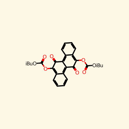 CC(C)COC(=O)OC1=c2ccccc2=C2C(=O)C(OC(=O)OCC(C)C)=c3ccccc3=C2C1=O